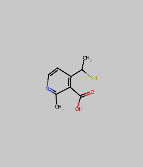 Cc1nccc(C(C)S)c1C(=O)O